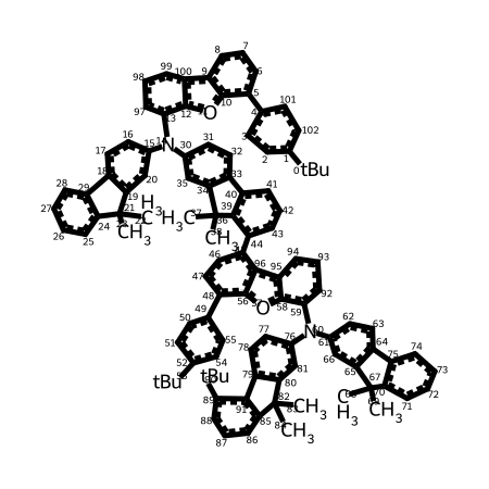 CC(C)(C)c1ccc(-c2cccc3c2oc2c(N(c4ccc5c(c4)C(C)(C)c4ccccc4-5)c4ccc5c(c4)C(C)(C)c4c-5cccc4-c4ccc(-c5ccc(C(C)(C)C)cc5)c5oc6c(N(c7ccc8c(c7)C(C)(C)c7ccccc7-8)c7ccc8c(c7)C(C)(C)c7cccc(C(C)(C)C)c7-8)cccc6c45)cccc23)cc1